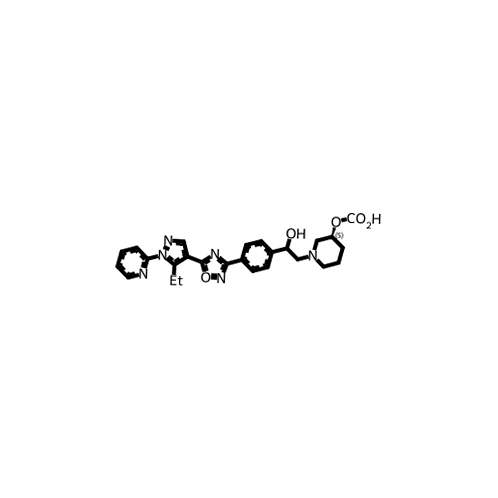 CCc1c(-c2nc(-c3ccc(C(O)CN4CCC[C@H](OC(=O)O)C4)cc3)no2)cnn1-c1ccccn1